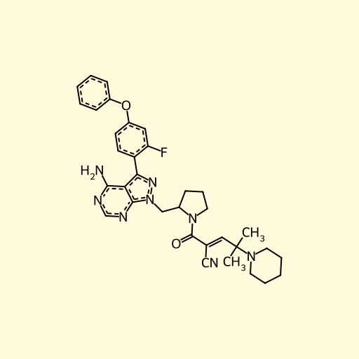 CC(C)(C=C(C#N)C(=O)N1CCCC1Cn1nc(-c2ccc(Oc3ccccc3)cc2F)c2c(N)ncnc21)N1CCCCC1